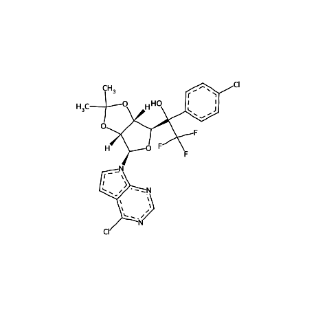 CC1(C)O[C@@H]2[C@H](O1)[C@@H](C(O)(c1ccc(Cl)cc1)C(F)(F)F)O[C@H]2n1ccc2c(Cl)ncnc21